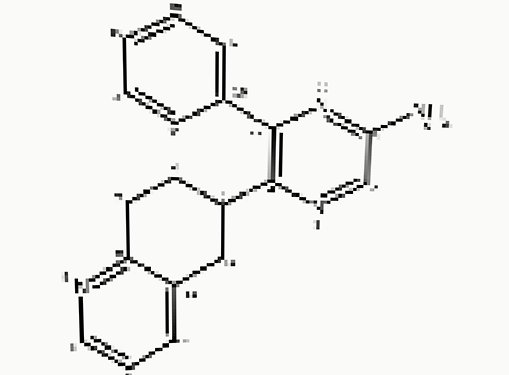 Nc1cnc(C2CCc3ncccc3C2)c(-c2ccccc2)n1